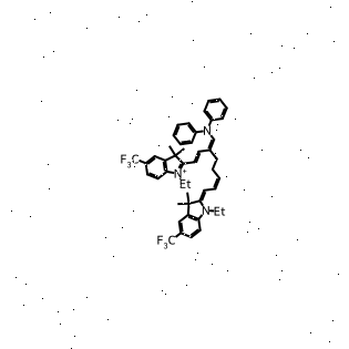 CCN1/C(=C\C=C/CC/C(C=CC2=[N+](CC)c3ccc(C(F)(F)F)cc3C2(C)C)=C/N(c2ccccc2)c2ccccc2)C(C)(C)c2cc(C(F)(F)F)ccc21